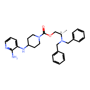 C[C@@H](COC(=O)N1CCC(Nc2cccnc2N)CC1)N(Cc1ccccc1)Cc1ccccc1